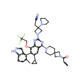 C=CC(=O)N1CC2(CCN(c3nc(N4CC(CC#N)(N5CCCC5)C4)nc4c(OCC(F)(F)F)c(-c5c(C)ccc6[nH]ncc56)c(C5CC5)cc34)CC2)C1